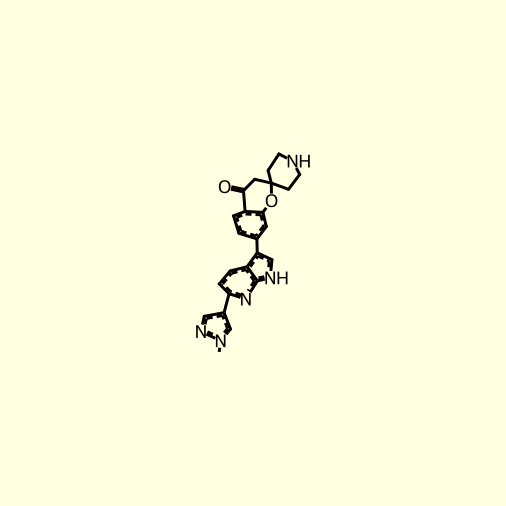 Cn1cc(-c2ccc3c(-c4ccc5c(c4)OC4(CCNCC4)CC5=O)c[nH]c3n2)cn1